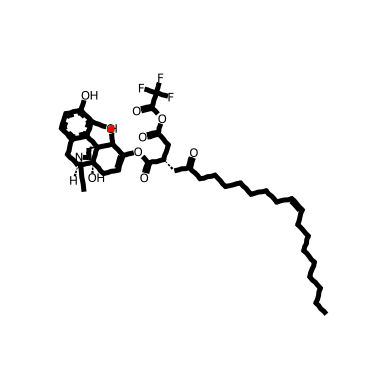 CCCCCCCC/C=C\CCCCCCCC(=O)C[C@@H](CC(=O)OC(=O)C(F)(F)F)C(=O)OC1=CC[C@@]2(O)[C@H]3Cc4ccc(O)c5c4[C@@]2(CCN3C)[C@H]1O5